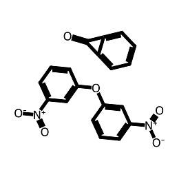 O=[N+]([O-])c1cccc(Oc2cccc([N+](=O)[O-])c2)c1.O=c1c2ccccc12